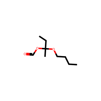 CCCCOC(C)(CC)O[C]=O